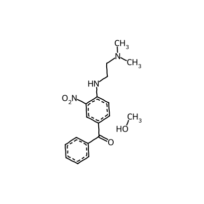 CN(C)CCNc1ccc(C(=O)c2ccccc2)cc1[N+](=O)[O-].CO